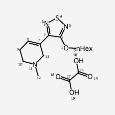 CCCCCCOc1nsnc1C1=CCCN(C)C1.O=C(O)C(=O)O